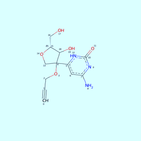 C#CCOC1(c2cc(N)nc(=O)[nH]2)CO[C@H](CO)C1O